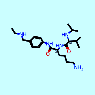 CCNCc1ccc(NC(=O)[C@H](CCCCN)NC(=O)[C@@H](NC(C)C)C(C)C)cc1